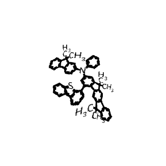 CC1(C)c2ccccc2-c2ccc(N(c3ccccc3)c3cc(-c4cccc5c4sc4ccccc45)c4c(c3)C(C)(C)c3cc5c(cc3-4)C(C)(C)c3ccccc3-5)cc21